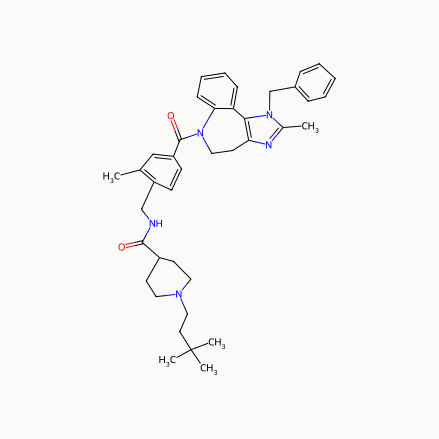 Cc1cc(C(=O)N2CCc3nc(C)n(Cc4ccccc4)c3-c3ccccc32)ccc1CNC(=O)C1CCN(CCC(C)(C)C)CC1